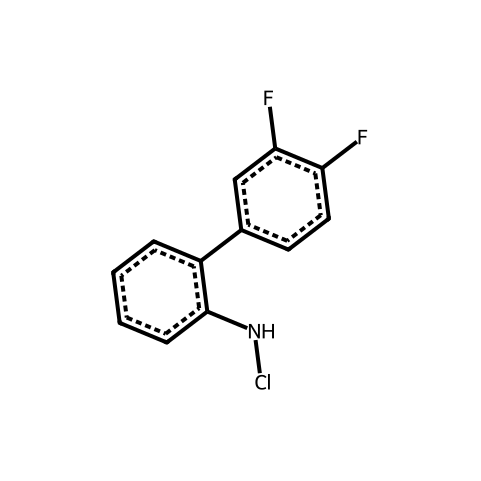 Fc1ccc(-c2ccccc2NCl)cc1F